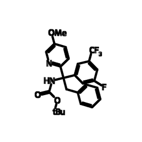 COc1ccc(C(Cc2ccccc2)(NC(=O)OC(C)(C)C)c2cc(F)cc(C(F)(F)F)c2)nc1